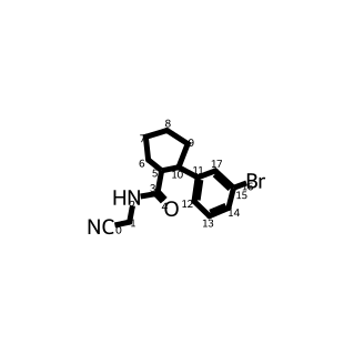 N#CCNC(=O)C1CCCCC1c1cccc(Br)c1